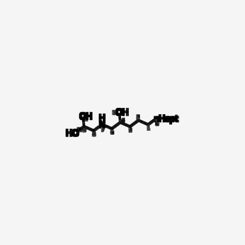 CCCCCCCCCCC(O)CNCC(O)O